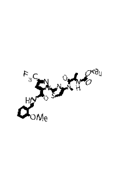 COc1ccccc1CNC(=O)c1cc(C(F)(F)F)nn1-c1nc(N(C)C(=O)C(C)NC(=O)OC(C)(C)C)cs1